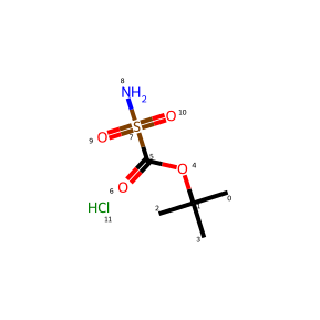 CC(C)(C)OC(=O)S(N)(=O)=O.Cl